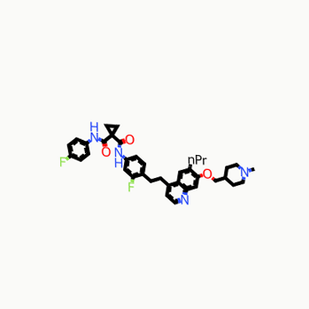 CCCc1cc2c(CCc3ccc(NC(=O)C4(C(=O)Nc5ccc(F)cc5)CC4)cc3F)ccnc2cc1OCC1CCN(C)CC1